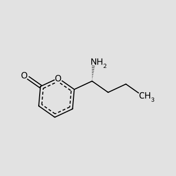 CCC[C@@H](N)c1cccc(=O)o1